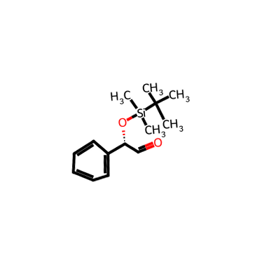 CC(C)(C)[Si](C)(C)O[C@H](C=O)c1ccccc1